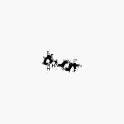 FC(F)(F)c1cnc(NC[C@H]2NCCC2(F)F)cn1